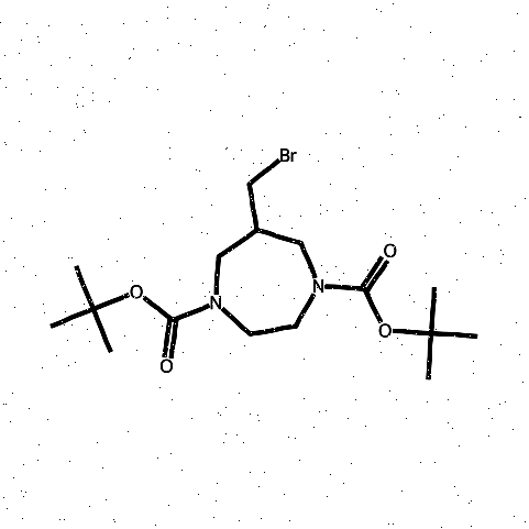 CC(C)(C)OC(=O)N1CCN(C(=O)OC(C)(C)C)CC(CBr)C1